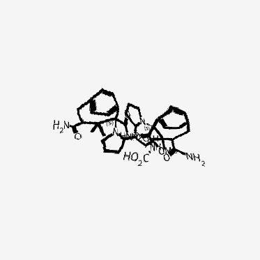 COCCN(C1CCCN1[C@]1(C(=O)NC(=O)O)c2ccc(cc2)CC(C(N)=O)C1(C)C)C1CCCN1[C@]1(C(=O)NC(=O)O)c2ccc(cc2)CC(C(N)=O)C1(C)C